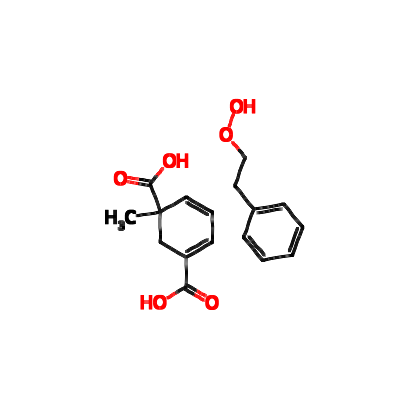 CC1(C(=O)O)C=CC=C(C(=O)O)C1.OOCCc1ccccc1